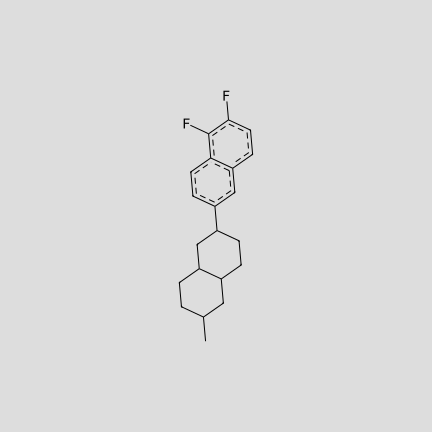 CC1CCC2CC(c3ccc4c(F)c(F)ccc4c3)CCC2C1